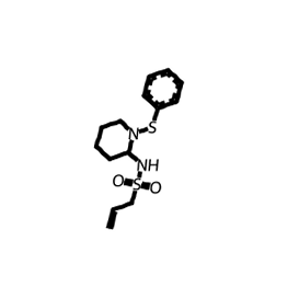 C=CCS(=O)(=O)NC1CCCCN1Sc1ccccc1